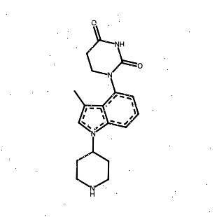 Cc1cn(C2CCNCC2)c2cccc(N3CCC(=O)NC3=O)c12